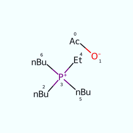 CC(=O)[O-].CCCC[P+](CC)(CCCC)CCCC